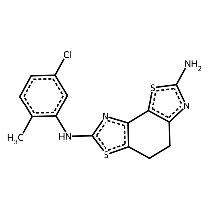 Cc1ccc(Cl)cc1Nc1nc2c(s1)CCc1nc(N)sc1-2